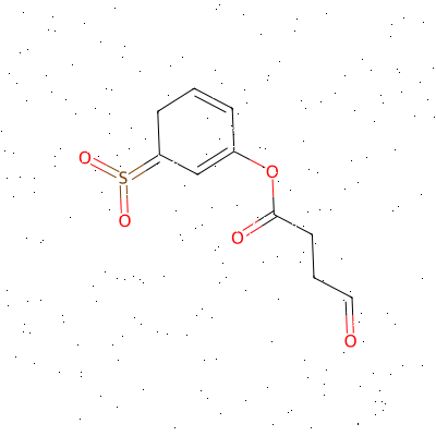 O=CCCC(=O)OC1=CC(=S(=O)=O)CC=C1